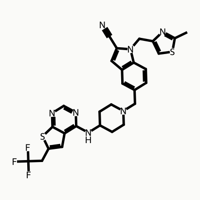 Cc1nc(Cn2c(C#N)cc3cc(CN4CCC(Nc5ncnc6sc(CC(F)(F)F)cc56)CC4)ccc32)cs1